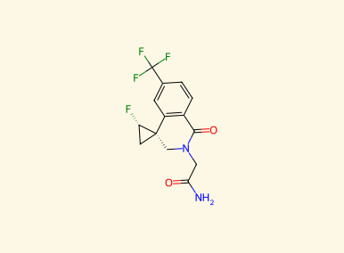 NC(=O)CN1C[C@@]2(C[C@@H]2F)c2cc(C(F)(F)F)ccc2C1=O